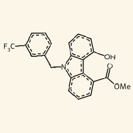 COC(=O)c1cccc2c1c1c(O)cccc1n2Cc1cccc(C(F)(F)F)c1